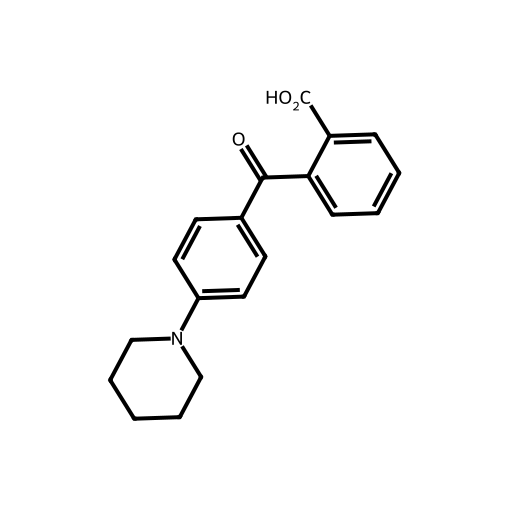 O=C(O)c1ccccc1C(=O)c1ccc(N2CCCCC2)cc1